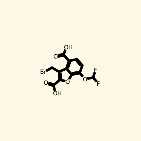 O=C(O)c1oc2c(OC(F)F)ccc(C(=O)O)c2c1CBr